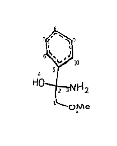 COCC(N)(O)c1ccccc1